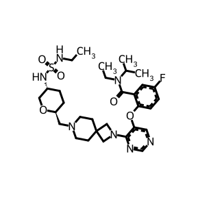 CCNS(=O)(=O)N[C@@H]1CC[C@@H](CN2CCC3(CC2)CN(c2ncncc2Oc2ccc(F)cc2C(=O)N(CC)C(C)C)C3)OC1